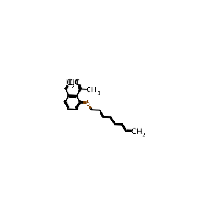 C=CCCCCCCSc1cccc(C=C)c1C(=C)C